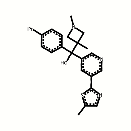 Cc1cnc(-c2cncc(C(O)(c3ccc(C(C)C)cc3)C3(C)CN(C)C3)c2)s1